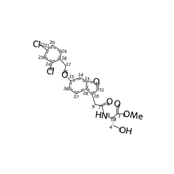 COC(=O)[C@H](CO)NC(=O)Cc1coc2cc(OCc3ccc(Cl)cc3Cl)ccc12